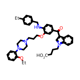 CCOc1ccccc1N1CCN(CCCOc2cc(C(=O)c3cn(CCCC(=O)O)c4ccccc34)ccc2NCc2ccc(CC)cc2)CC1